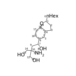 CCCCCCC1CCc2cc(C(O)CC(N)(CO)CO)ccc2O1